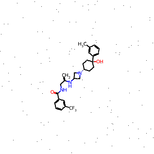 C=C(CNC(=O)c1cccc(C(F)(F)F)c1)NC1CN([C@H]2CC[C@@](O)(c3cccc(C)c3)CC2)C1